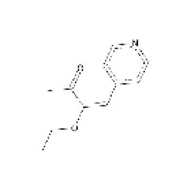 CCO/C(=C/c1ccncc1)C(C)=O